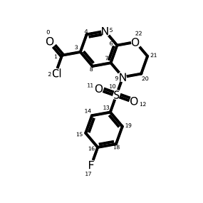 O=C(Cl)c1cnc2c(c1)N(S(=O)(=O)c1ccc(F)cc1)CCO2